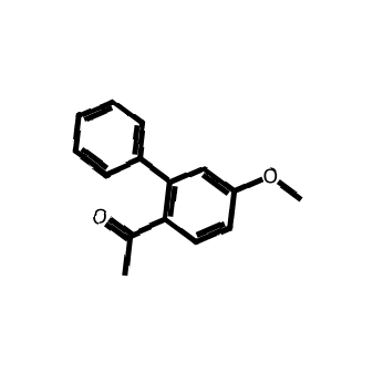 COc1ccc(C(C)=O)c(-c2ccccc2)c1